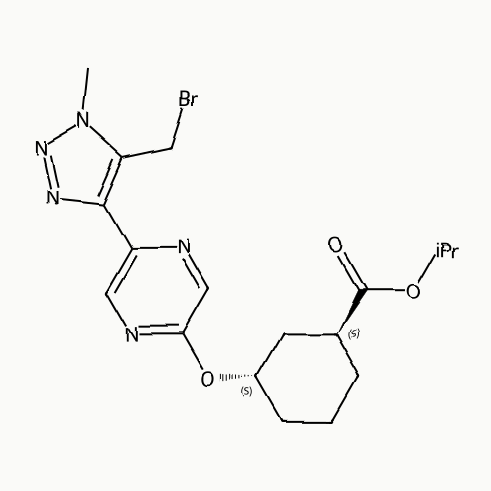 CC(C)OC(=O)[C@H]1CCC[C@H](Oc2cnc(-c3nnn(C)c3CBr)cn2)C1